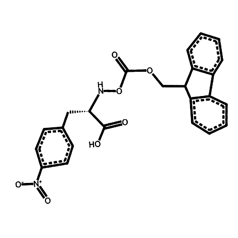 O=C(OCC1c2ccccc2-c2ccccc21)ON[C@@H](Cc1ccc([N+](=O)[O-])cc1)C(=O)O